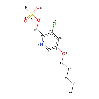 CCCCCOc1cnc(COS(C)(=O)=O)c(Cl)c1